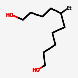 CCC(CCCCO)CCCCCO